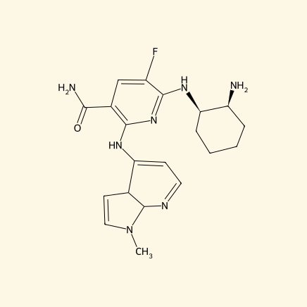 CN1C=CC2C(Nc3nc(N[C@@H]4CCCC[C@@H]4N)c(F)cc3C(N)=O)=CC=NC21